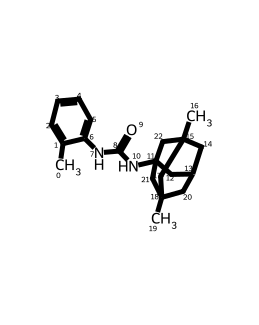 Cc1ccccc1NC(=O)NC12CC3CC(C)(CC(C)(C3)C1)C2